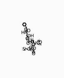 C[C@H]1CN(c2cc(S(=O)(=O)N(COCC[Si](C)(C)C)C3(C)COC3)cn3c(C(=O)N4CCC(O)(CCNC(=O)OCc5ccccc5)C4)ncc23)C[C@H](C)O1